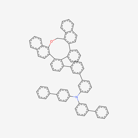 c1ccc(-c2ccc(N(c3cccc(-c4ccccc4)c3)c3cccc(-c4cccc(-c5cccc6c5-c5ccccc5-c5ccc7ccccc7c5COc5c-6ccc6ccccc56)c4)c3)cc2)cc1